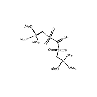 C=C(S(=O)(=O)C[Si](OC)(OC)OC)S(=O)(=O)C[Si](OC)(OC)OC